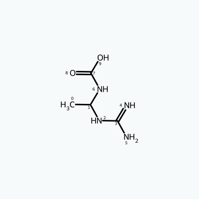 CC(NC(=N)N)NC(=O)O